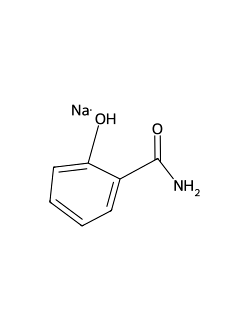 NC(=O)c1ccccc1O.[Na]